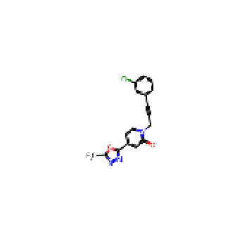 O=c1cc(-c2nnc(C(F)(F)F)o2)ccn1CC#Cc1cccc(Cl)c1